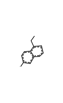 [CH2]c1ccc2c(CC)cccc2c1